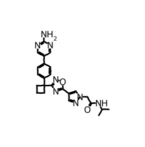 CC(C)NC(=O)Cn1cc(-c2nc(C3(c4ccc(-c5cnc(N)nc5)cc4)CCC3)no2)cn1